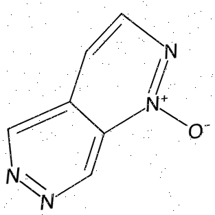 [O-][n+]1nccc2cnncc21